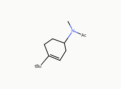 CC(=O)N(C)C1CC=C(C(C)(C)C)CC1